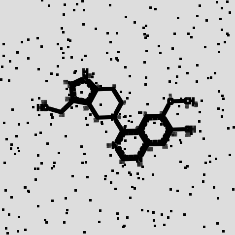 COc1cc2c(N3CCc4[nH]nc(CO)c4C3)ncnc2cc1O